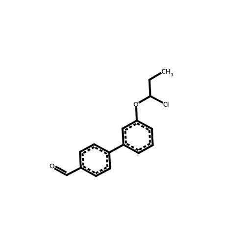 CCC(Cl)Oc1cccc(-c2ccc(C=O)cc2)c1